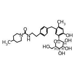 Cc1cc(O)c([C@@H]2O[C@H](CO)[C@@H](O)[C@H](O)[C@H]2O)cc1Cc1ccc(CCNC(=O)N2CCC(C)CC2)cc1